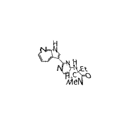 CC[C@@](C)(Nc1ccnc(-c2c[nH]c3ncccc23)n1)C(=O)NC